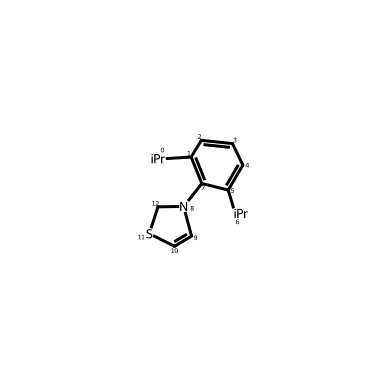 CC(C)c1cccc(C(C)C)c1N1C=CSC1